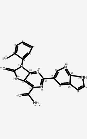 CC(C)c1ccccc1-n1c(=O)[nH]c2c(C(N)=O)nc(-c3cnc4[nH]ccc4c3)nc21